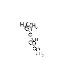 C=CC(=O)OCCOC(=O)NCCOCCOC(=O)C(=C)C